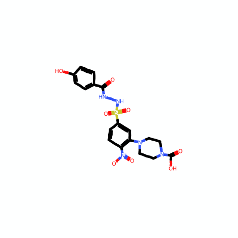 O=C(NNS(=O)(=O)c1ccc([N+](=O)[O-])c(N2CCN(C(=O)O)CC2)c1)c1ccc(O)cc1